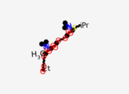 CCC1(COCCCCCCOc2ccc(C(=O)Oc3ccc(OC(=O)c4ccc(OCCCCOc5ccc(C(=O)Oc6ccc(SCCCCC(C)C)c(/C=N/N=C7c8ccccc8-c8ccccc87)c6)cc5)cc4)cc3/C=N/N=C3c4ccccc4-c4ccccc43)cc2C)COC1